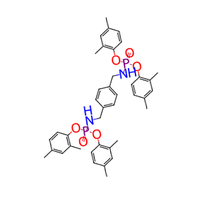 Cc1ccc(OP(=O)(NCc2ccc(CNP(=O)(Oc3ccc(C)cc3C)Oc3ccc(C)cc3C)cc2)Oc2ccc(C)cc2C)c(C)c1